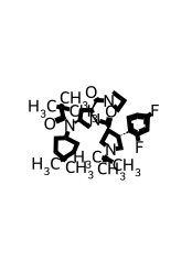 CC1(C)CCC(N(C(=O)C(C)(C)C)[C@H]2C[C@@H](C(=O)N3CCC3)N(C(=O)[C@@H]3CN(C(C)(C)C)C[C@H]3c3ccc(F)cc3F)C2)CC1